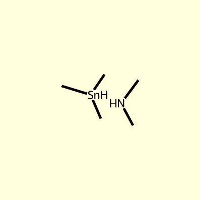 CNC.[CH3][SnH]([CH3])[CH3]